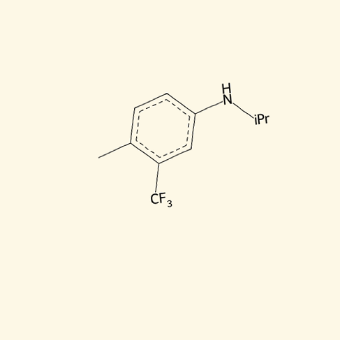 Cc1ccc(NC(C)C)cc1C(F)(F)F